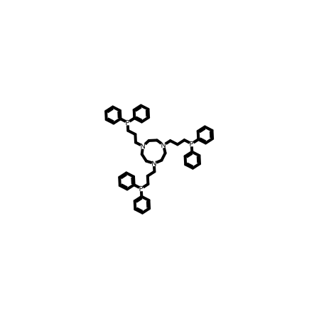 c1ccc(P(CCCN2CCN(CCCP(c3ccccc3)c3ccccc3)CCN(CCCP(c3ccccc3)c3ccccc3)CC2)c2ccccc2)cc1